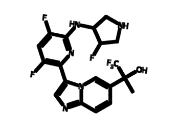 CC(O)(c1ccc2ncc(-c3nc(NC4CNCC4F)c(F)cc3F)n2c1)C(F)(F)F